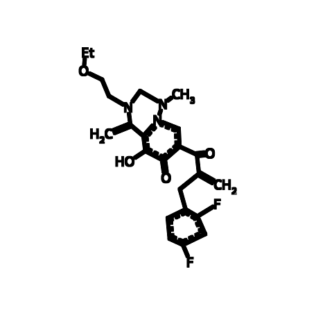 C=C(Cc1ccc(F)cc1F)C(=O)c1cn2c(c(O)c1=O)C(=C)N(CCOCC)CN2C